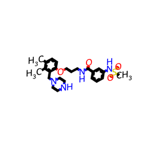 Cc1ccc(OCCCNC(=O)c2cccc(NS(C)(=O)=O)c2)c(CN2CCNCC2)c1C